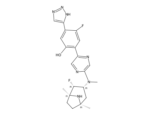 CN(c1cnc(-c2cc(F)c(-c3cnn[nH]3)cc2O)cn1)[C@@H]1C[C@@]2(C)CC[C@](C)(N2)[C@@H]1F